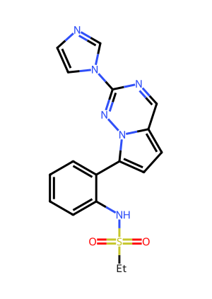 CCS(=O)(=O)Nc1ccccc1-c1ccc2cnc(-n3ccnc3)nn12